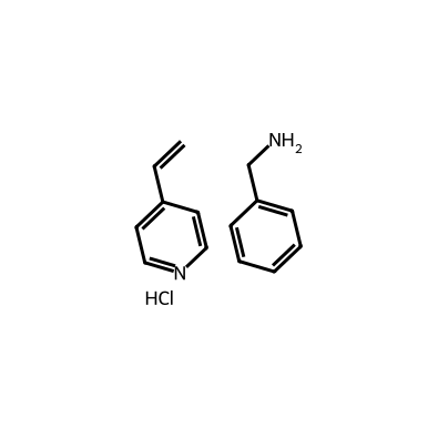 C=Cc1ccncc1.Cl.NCc1ccccc1